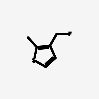 Cc1sccc1CF